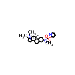 CC1C2CCC3C4CC=C5CC(N(C)C(=O)Oc6ccccn6)CCC5(C)C4CCC32CN1C